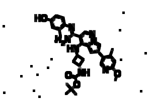 CCc1cc(O)ccc1/N=C(\N)c1cnn2cc(-c3cnc(OC)cc3C)cc2c1N[C@H]1C[C@H](NC(=O)OC(C)(C)C)C1